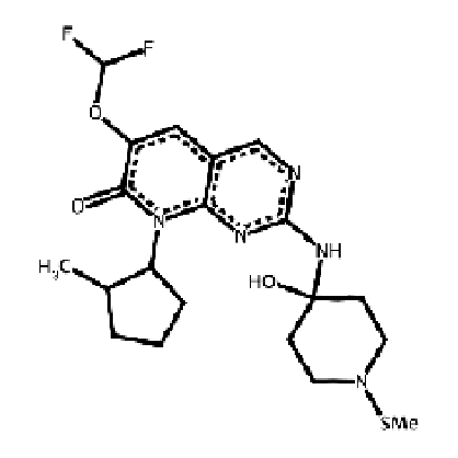 CSN1CCC(O)(Nc2ncc3cc(OC(F)F)c(=O)n(C4CCCC4C)c3n2)CC1